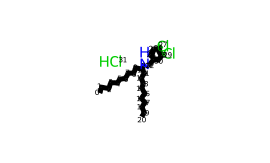 CCCCCCCCCCC(CCCCCCCCCC)NCc1ccc(Cl)c(Cl)c1.Cl